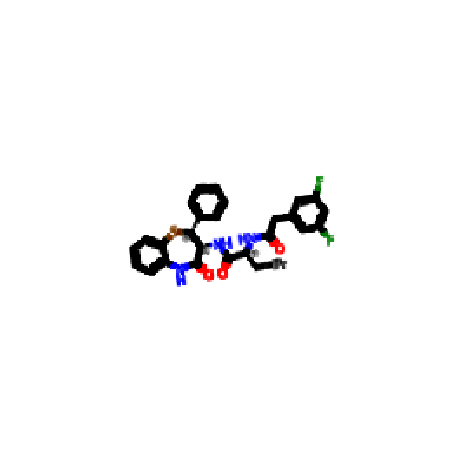 CC(C)C[C@H](NC(=O)Cc1cc(F)cc(F)c1)C(=O)N[C@@H]1C(=O)Nc2ccccc2S[C@@H]1c1ccccc1